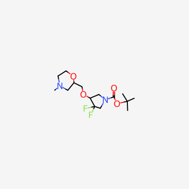 CN1CCOC(COC2CN(C(=O)OC(C)(C)C)CC2(F)F)C1